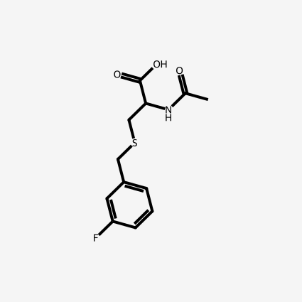 CC(=O)NC(CSCc1cccc(F)c1)C(=O)O